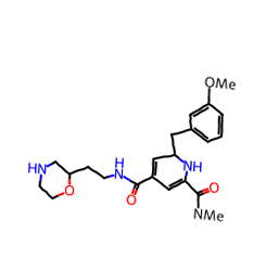 CNC(=O)C1=CC(C(=O)NCCC2CNCCO2)=CC(Cc2cccc(OC)c2)N1